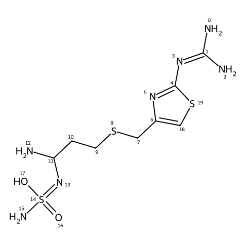 NC(N)=Nc1nc(CSCCC(N)N=S(N)(=O)O)cs1